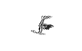 CCCCCCCCCCCCCCCCCCCCCC(=O)[O-].CCCCCCCCCCCCCCCCCCCCCC(=O)[O-].O=C([O-])[O-].O=C([O-])[O-].[Ca+2].[Ca+2].[Ca+2]